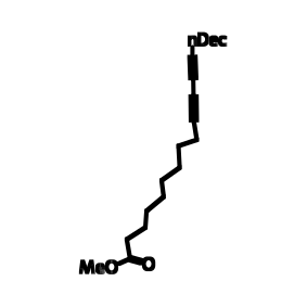 CCCCCCCCCCC#CC#CCCCCCCCCC(=O)OC